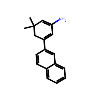 CC1(C)C=C(N)C=C(c2ccc3ccccc3c2)C1